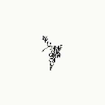 C[C@H](NC(=O)[C@@H]1C[C@@H](F)CN1C(=O)CNC(=O)c1ccc2cc(F)ccc2n1)c1ccc(N2C[C@H](C)N(C)[C@@H](C)C2)cc1/C=C/C1CC1